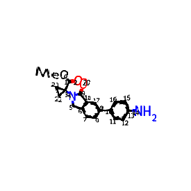 COC(=O)C1(N2Cc3ccc(-c4ccc(N)cc4)cc3C2=O)CC1